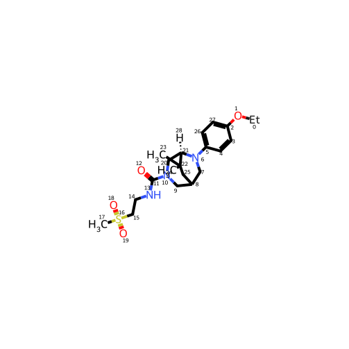 CCOc1ccc(N2CC3CN(C(=O)NCCS(C)(=O)=O)C[C@@H]2C(C)(C)C3)cc1